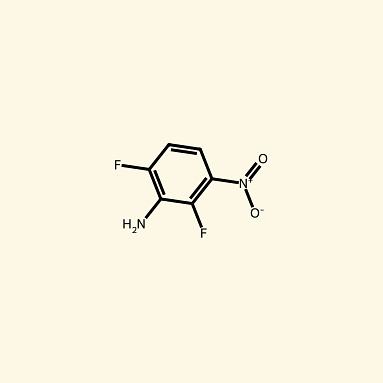 Nc1c(F)ccc([N+](=O)[O-])c1F